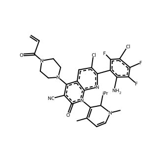 C=CC(=O)N1CCN(c2c(C#N)c(=O)n(C3=C(C)C=CN(C)C3C(C)C)c3nc(-c4c(N)c(F)c(F)c(Cl)c4F)c(Cl)cc23)CC1